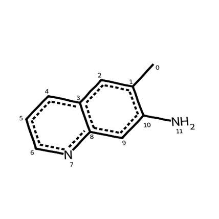 Cc1cc2cccnc2cc1N